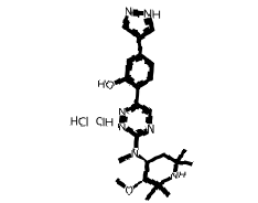 CO[C@H]1[C@@H](N(C)c2ncc(-c3ccc(-c4cn[nH]c4)cc3O)nn2)CC(C)(C)NC1(C)C.Cl.Cl